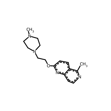 Cc1nccc2nc(OCCN3CCN(C)CC3)ccc12